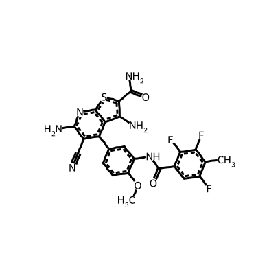 COc1ccc(-c2c(C#N)c(N)nc3sc(C(N)=O)c(N)c23)cc1NC(=O)c1cc(F)c(C)c(F)c1F